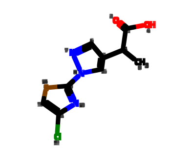 CC(C(=O)O)c1cnn(-c2nc(Cl)cs2)c1